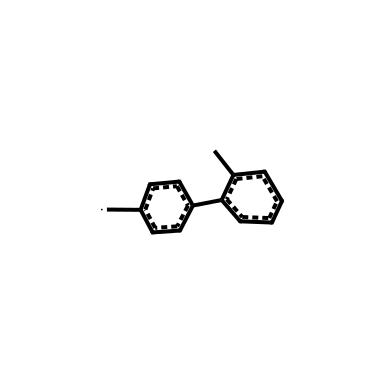 [CH2]c1ccc(-c2ccccc2C)cc1